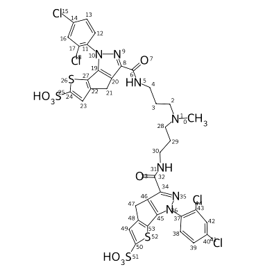 CN(CCCNC(=O)c1nn(-c2ccc(Cl)cc2Cl)c2c1Cc1cc(S(=O)(=O)O)sc1-2)CCCNC(=O)c1nn(-c2ccc(Cl)cc2Cl)c2c1Cc1cc(S(=O)(=O)O)sc1-2